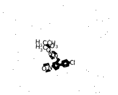 CC(C)(C)C(=O)ON1CCN(Cc2cc(N3CCOCC3)ccc2-c2ccc(Cl)cc2)CC1